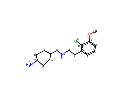 CCOc1cccc(CCNCC2CCC(N)CC2)c1Cl